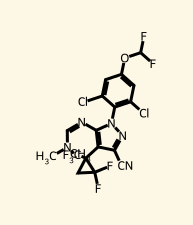 CN(C)/C=N\c1c(C2(C(F)(F)F)CC2(F)F)c(C#N)nn1-c1c(Cl)cc(OC(F)F)cc1Cl